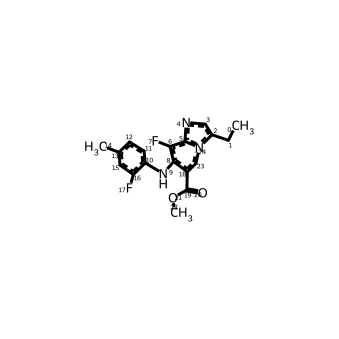 CCc1cnc2c(F)c(Nc3ccc(C)cc3F)c(C(=O)OC)cn12